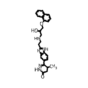 CC1CC(=O)NN=C1c1ccc2[nH]c(CCNCC(O)COc3cccc4ccccc34)nc2c1